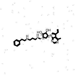 C=Cc1cn([C@@H]2C[C@H](CNCCCNCCc3ccccc3)[C@@H](O)[C@H]2O)c2ncnc(C)c12